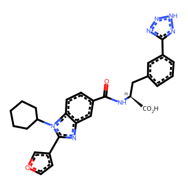 O=C(N[C@@H](Cc1cccc(-c2nn[nH]n2)c1)C(=O)O)c1ccc2c(c1)nc(-c1ccoc1)n2C1CCCCC1